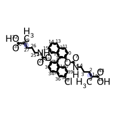 C/C(=C\CCNC(=O)Oc1ccc2ccccc2c1-c1c(OC(=O)NCC/C=C(\C)C(=O)O)ccc2cc(Cl)ccc12)C(=O)O